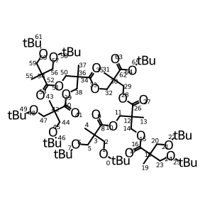 CC(C)(C)OCC(C)(COC(C)(C)C)C(=O)OCC(C)(COC(=O)C(C)(COC(C)(C)C)COC(C)(C)C)C(=O)OCC(C)(COC(=O)C(C)(COC(=O)C(C)(COC(C)(C)C)COC(C)(C)C)COC(=O)C(C)(COC(C)(C)C)COC(C)(C)C)C(=O)OC(C)(C)C